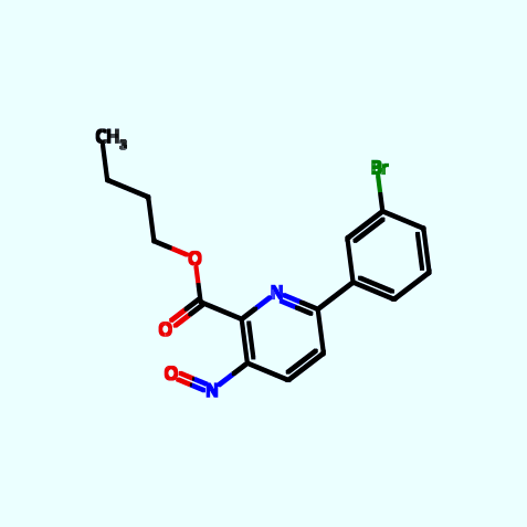 CCCCOC(=O)c1nc(-c2cccc(Br)c2)ccc1N=O